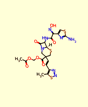 CC(=O)OCOC(=O)C1(C=Cc2nnsc2C)CS[C@@H]2C(NC(=O)C(=NO)c3csc(N)n3)C(=O)N2C1